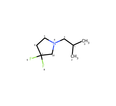 CC(C)CN1CCC(F)(F)C1